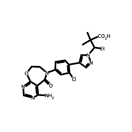 CCC(n1cc(-c2ccc(N3CCOc4ncnc(N)c4C3=O)cc2Cl)cn1)C(C)(C)C(=O)O